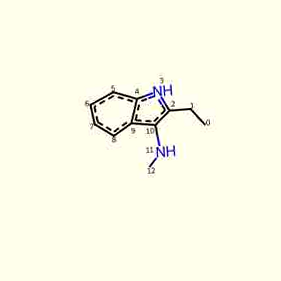 CCc1[nH]c2ccccc2c1NC